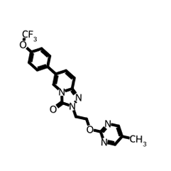 Cc1cnc(OCCn2nc3ccc(-c4ccc(OC(F)(F)F)cc4)cn3c2=O)nc1